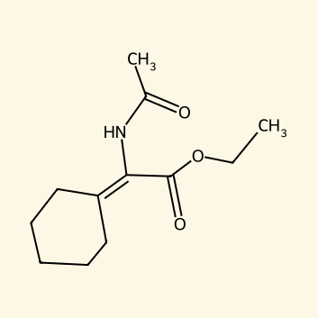 CCOC(=O)C(NC(C)=O)=C1CCCCC1